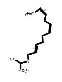 CCCCC/C=C\C/C=C\CC/C=C/CSC(C(=O)O)C(F)(F)F